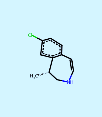 C[C@H]1CNC=Cc2ccc(Cl)cc21